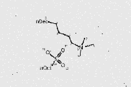 CCCCCCCCCCCCCC[N+](C)(C)C.CCCCCCCCS(=O)(=O)[O-]